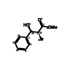 COC(=O)[C@H](Br)[C@H](O)c1ccccc1